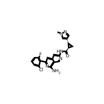 Cn1cc([C@@H]2C[C@H]2C(=O)Nc2cc3cc(-c4c(F)cccc4Cl)nc(N)c3cn2)cn1